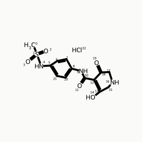 CS(=O)(=O)Nc1ccc(NC(=O)C2=C(O)CNCC2=O)cc1.Cl